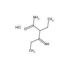 CCC(=N)C(CC)C(N)=O.Cl